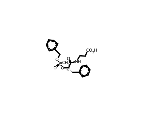 CP(=O)(OCc1ccccc1)O[C@@H](Cc1ccccc1)C(=O)NCCC(=O)O